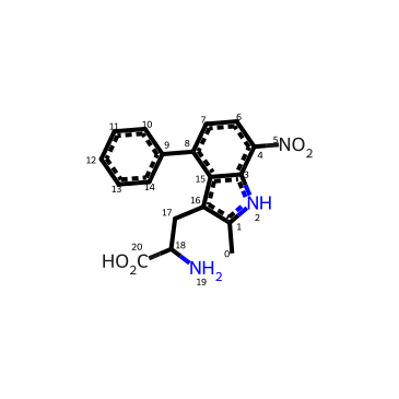 Cc1[nH]c2c([N+](=O)[O-])ccc(-c3ccccc3)c2c1CC(N)C(=O)O